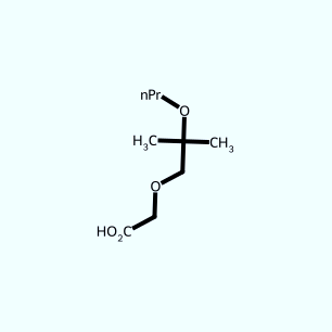 CCCOC(C)(C)COCC(=O)O